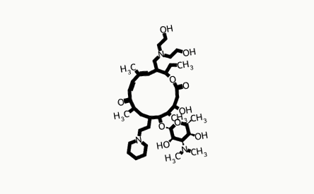 CCC1OC(=O)CC(O)C(C)C(O[C@@H]2O[C@H](C)[C@@H](O)[C@H](N(C)C)[C@H]2O)C(CCN2CCCCC2)CC(C)C(=O)/C=C\C(C)=C\C1CN(CCO)CCO